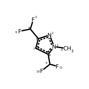 Cn1nc(C(F)F)cc1C(F)F